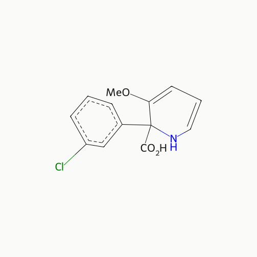 COC1=CC=CNC1(C(=O)O)c1cccc(Cl)c1